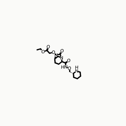 CCOC(=O)CON1C(=O)N2CC1CCC2C(=O)NOC[C@H]1CCCCN1